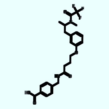 CC(Cc1cccc(OCCCC(=O)NCc2ccc(C(=O)O)cc2)c1)N(C)C(=O)C(F)(F)F